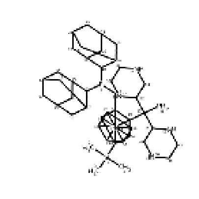 C[Si](C)(C)[C]12[CH]3[C]4(CP(C5C6CC7CC(C6)CC5C7)C5C6CC7CC(C6)CC5C7)[C]5(C(P)(C6CNCCN6)C6CNCCN6)[CH]1[Fe]34521678[CH]2[CH]1[CH]6[CH]7[CH]28